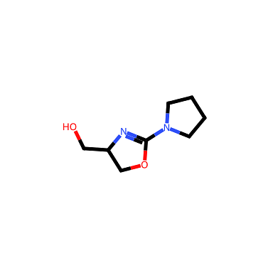 OCC1COC(N2CCCC2)=N1